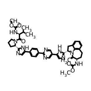 C=C1[C@@H](NC(=O)OC)CCc2cccc3c2N1[C@H](c1ncc(-c2cnc(-c4ccc(-c5cnc([C@@H]6CCCN6C(=O)[C@@H](NC(=O)OC)C(C)C)[nH]5)cc4)nc2)[nH]1)C3